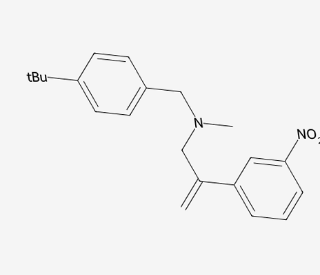 C=C(CN(C)Cc1ccc(C(C)(C)C)cc1)c1cccc([N+](=O)[O-])c1